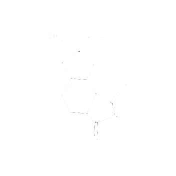 CCOC(=O)C1(C(=O)OCC)CC2=CCC3C(=O)NC(=O)C3C2C1